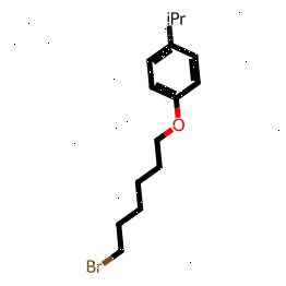 CC(C)c1ccc(OCCCCCCBr)cc1